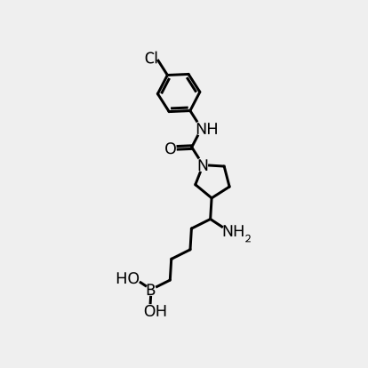 NC(CCCCB(O)O)C1CCN(C(=O)Nc2ccc(Cl)cc2)C1